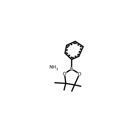 CC1(C)OB(c2ccccc2)OC1(C)C.N